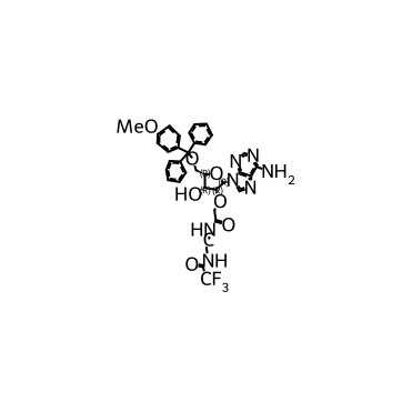 COc1ccc(C(OC[C@H]2O[C@@H](n3cnc4c(N)ncnc43)[C@H](OCC(=O)NCCNC(=O)C(F)(F)F)[C@@H]2O)(c2ccccc2)c2ccccc2)cc1